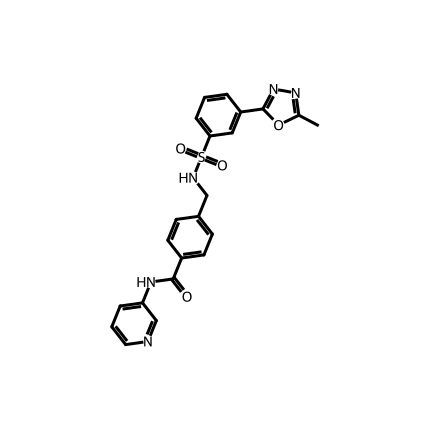 Cc1nnc(-c2cccc(S(=O)(=O)NCc3ccc(C(=O)Nc4cccnc4)cc3)c2)o1